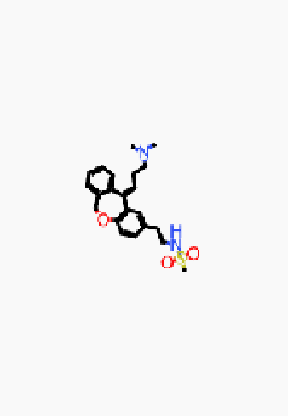 CN(C)CC/C=C1\c2ccccc2COc2ccc(CCNS(C)(=O)=O)cc21